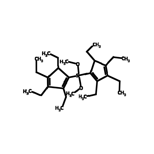 CCC1=C(CC)C(CC)C([Si](OC)(OC)C2=C(CC)C(CC)=C(CC)C2CC)=C1CC